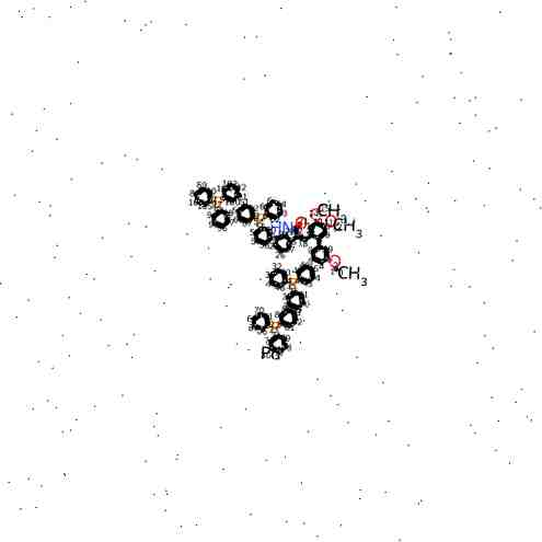 CCOc1cccc(-c2cc(OC)c(OC)cc2C=C2C(=O)Nc3ccccc32)c1.[Pd].c1ccc(P(c2ccccc2)c2ccccc2)cc1.c1ccc(P(c2ccccc2)c2ccccc2)cc1.c1ccc(P(c2ccccc2)c2ccccc2)cc1.c1ccc(P(c2ccccc2)c2ccccc2)cc1